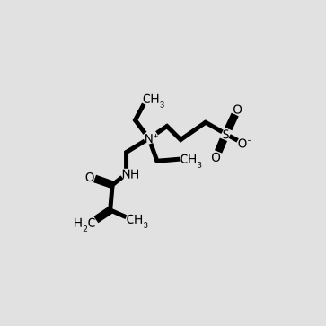 C=C(C)C(=O)NC[N+](CC)(CC)CCCS(=O)(=O)[O-]